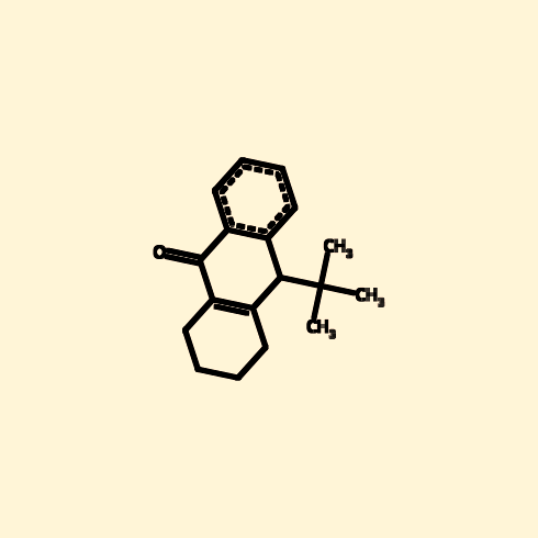 CC(C)(C)C1C2=C(CCCC2)C(=O)c2ccccc21